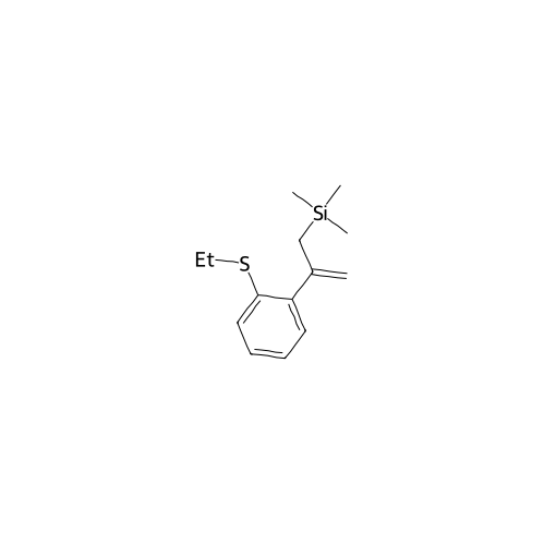 C=C(C[Si](C)(C)C)c1ccccc1SCC